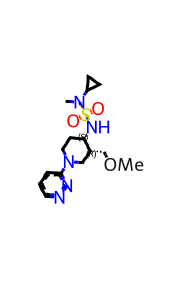 COC[C@@H]1CN(c2cccnn2)CC[C@@H]1NS(=O)(=O)N(C)C1CC1